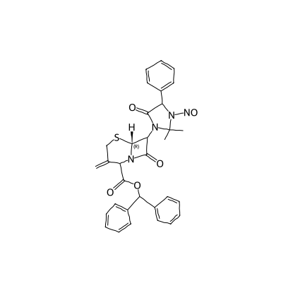 C=C1CS[C@@H]2C(N3C(=O)C(c4ccccc4)N(N=O)C3(C)C)C(=O)N2C1C(=O)OC(c1ccccc1)c1ccccc1